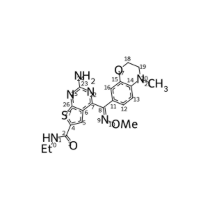 CCNC(=O)c1cc2c(C(=NOC)c3ccc4c(c3)OCCN4C)nc(N)nc2s1